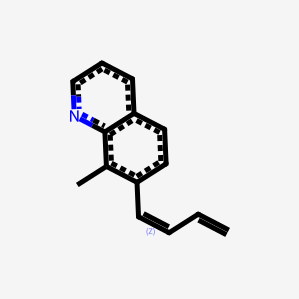 C=C/C=C\c1ccc2cccnc2c1C